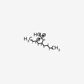 CCCCC(CCCC)CS(=O)(=O)O